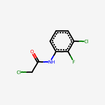 O=C(CCl)Nc1cccc(Cl)c1F